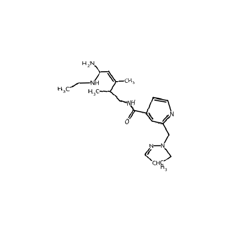 C/C=N\N(CC)Cc1cc(C(=O)NCC(C)/C(C)=C\C(N)NCC)ccn1